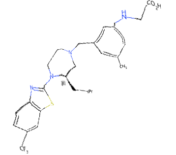 Cc1cc(CN2CCN(c3nc4ccc(C(F)(F)F)cc4s3)[C@H](CC(C)C)C2)cc(NCC(=O)O)c1